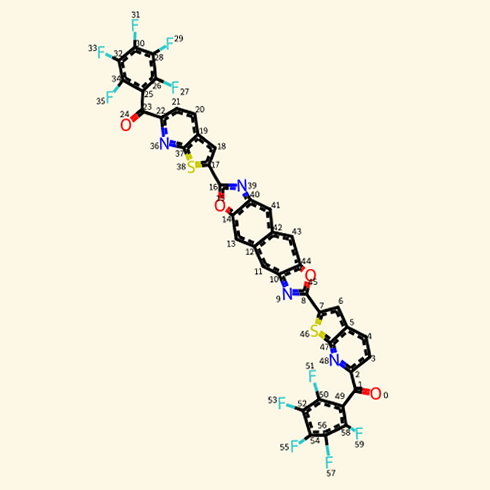 O=C(c1ccc2cc(-c3nc4cc5cc6oc(-c7cc8ccc(C(=O)c9c(F)c(F)c(F)c(F)c9F)nc8s7)nc6cc5cc4o3)sc2n1)c1c(F)c(F)c(F)c(F)c1F